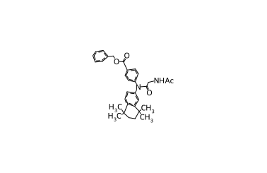 CC(=O)NCC(=O)N(c1ccc(C(=O)OCc2ccccc2)cc1)c1ccc2c(c1)C(C)(C)CCC2(C)C